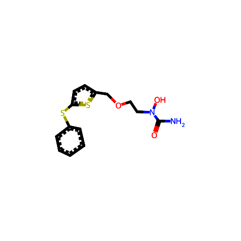 NC(=O)N(O)CCOCc1ccc(Sc2ccccc2)s1